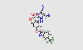 N#Cc1nc(C(C(=O)O)c2ccc(Oc3nc4cc(C(F)(F)F)ccc4s3)cc2)[nH]c1C#N